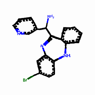 NC(C1=Nc2cc(Br)ccc2Nc2ccccc21)c1cccnc1